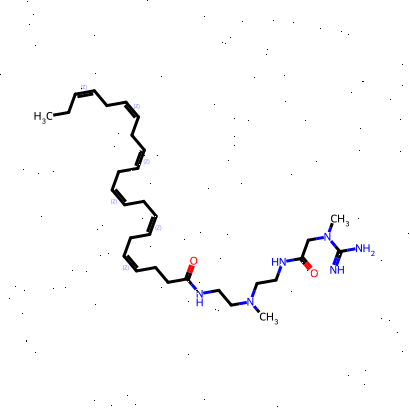 CC/C=C\C/C=C\C/C=C\C/C=C\C/C=C\C/C=C\CCC(=O)NCCN(C)CCNC(=O)CN(C)C(=N)N